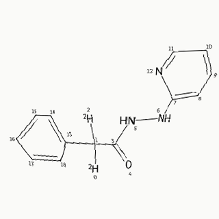 [2H]C([2H])(C(=O)NNc1ccccn1)c1ccccc1